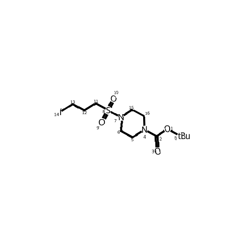 CC(C)(C)OC(=O)N1CCN(S(=O)(=O)CCCI)CC1